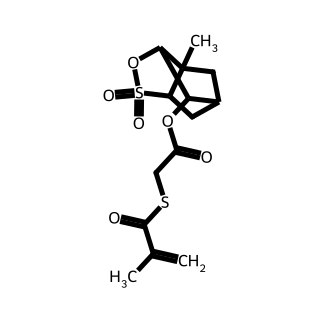 C=C(C)C(=O)SCC(=O)OC1C2CC3C(C)(C2)C1OS3(=O)=O